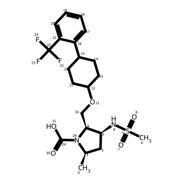 C[C@@H]1C[C@H](NS(C)(=O)=O)[C@H](COC2CCC(c3ccccc3C(F)(F)F)CC2)N1C(=O)O